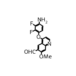 COc1cc2nccc(Oc3ccc(N)c(F)c3F)c2cc1C=O